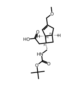 COCC1=C[C@H]2[C@@H](C1)C[C@@]2(CNC(=O)OC(C)(C)C)CC(=O)O